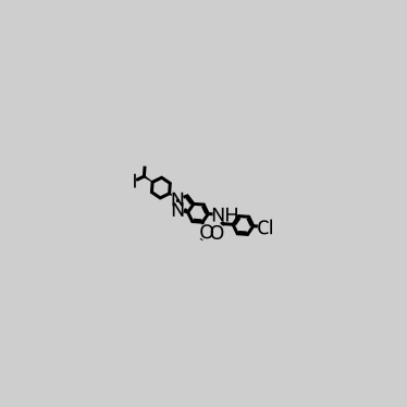 COc1cc2nn([C@H]3CC[C@H](C(C)I)CC3)cc2cc1NC(=O)c1ccc(Cl)cc1